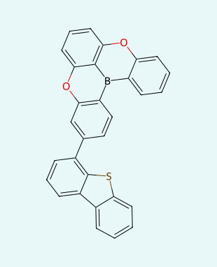 c1ccc2c(c1)Oc1cccc3c1B2c1ccc(-c2cccc4c2sc2ccccc24)cc1O3